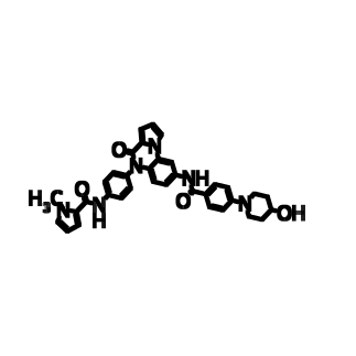 Cn1cccc1C(=O)Nc1ccc(-n2c(=O)c3cccn3c3cc(NC(=O)c4ccc(N5CCC(O)CC5)cc4)ccc32)cc1